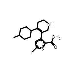 CC1CCC(C2=C(c3cc(I)sc3C(N)=O)CNCC2)CC1